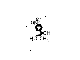 CC(CO)C(O)c1ccc([N+](=O)[O-])cc1